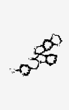 O=C1N(Cc2ccc(C(F)(F)F)nc2)c2ccccc2C12COc1cc3c(cc12)OCCO3